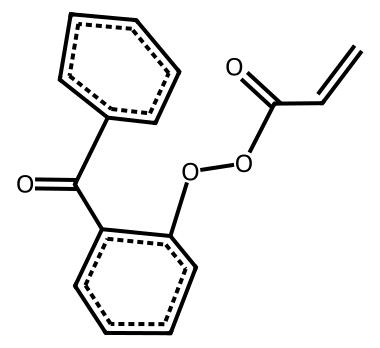 C=CC(=O)OOc1ccccc1C(=O)c1ccccc1